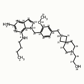 CCCCNc1nc(N)nc2cnn(Cc3ccc(CN4CC5(CCN(CCO)CC5)C4)cc3OC)c12